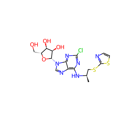 C[C@H](CSc1nccs1)Nc1nc(Cl)nc2c1ncn2[C@@H]1O[C@H](CO)[C@@H](O)[C@H]1O